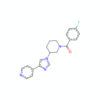 O=C(c1ccc(F)cc1)N1CCCC(n2cnc(-c3ccncc3)c2)C1